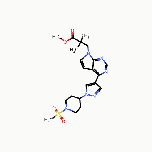 COC(=O)C(C)(C)Cn1ccc2c(-c3cnn(C4CCN(S(C)(=O)=O)CC4)c3)ncnc21